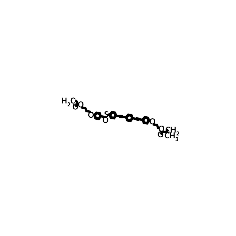 C=CC(=O)OCCCCOc1ccc(C(=O)Sc2ccc(C#Cc3ccc(C#Cc4ccc(OCCCOC(=O)C(=C)C)cc4)cc3)cc2)cc1